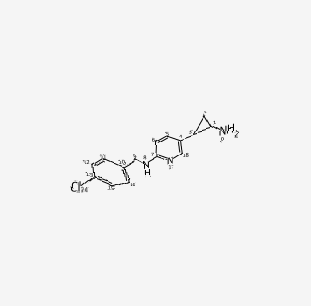 NC1CC1c1ccc(NCc2ccc(Cl)cc2)nc1